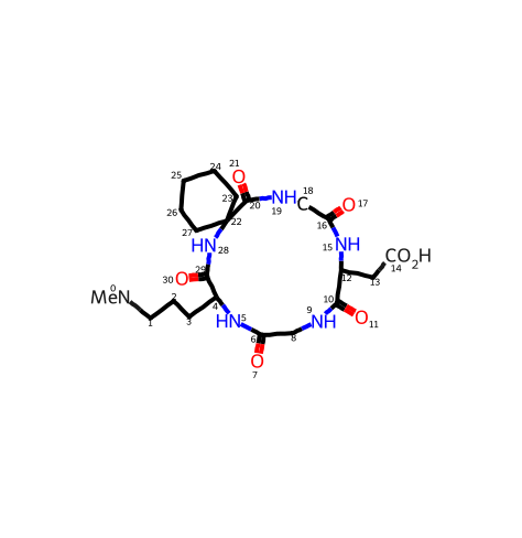 CNCCCC1NC(=O)CNC(=O)C(CC(=O)O)NC(=O)CNC(=O)C2(CCCCC2)NC1=O